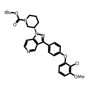 COc1cccc(Oc2ccc(-c3nn([C@@H]4CCCN(C(=O)OC(C)(C)C)C4)c4ccncc34)cc2)c1Cl